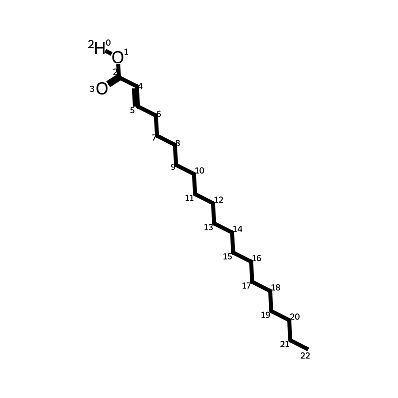 [2H]OC(=O)C=CCCCCCCCCCCCCCCCCC